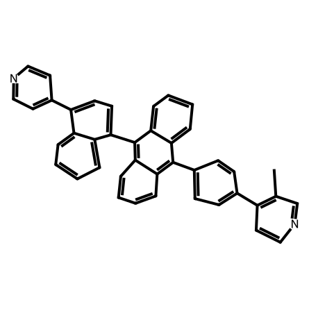 Cc1cnccc1-c1ccc(-c2c3ccccc3c(-c3ccc(-c4ccncc4)c4ccccc34)c3ccccc23)cc1